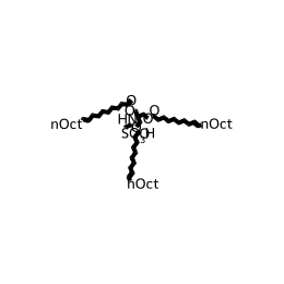 CCCCCCCCC=CCCCCCCCC(=O)OCC(COC(=O)CCCCCCCC=CCCCCCCCC)(COC(=O)CCCCCCCC=CCCCCCCCC)NCCS(=O)(=O)O